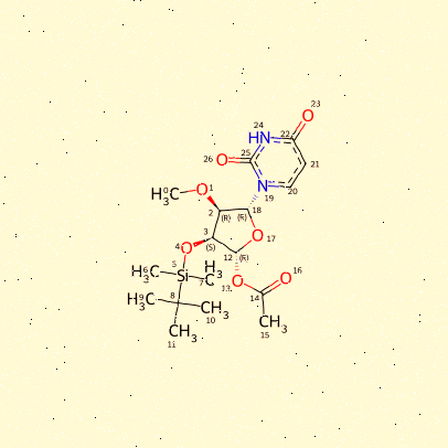 CO[C@@H]1[C@H](O[Si](C)(C)C(C)(C)C)[C@@H](OC(C)=O)O[C@H]1n1ccc(=O)[nH]c1=O